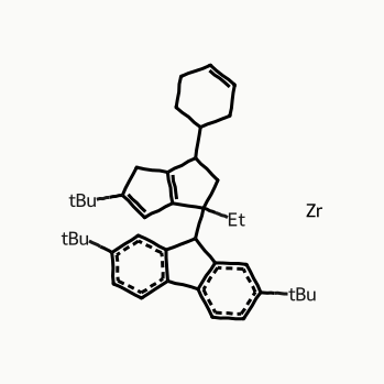 CCC1(C2c3cc(C(C)(C)C)ccc3-c3ccc(C(C)(C)C)cc32)CC(C2CC=CCC2)C2=C1C=C(C(C)(C)C)C2.[Zr]